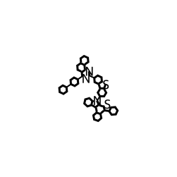 c1ccc(-c2ccc(-c3nc(-c4ccc5sc6ccc(-n7c8ccccc8c8c9ccccc9c9c%10ccccc%10sc9c87)cc6c5c4)nc4c3ccc3ccccc34)cc2)cc1